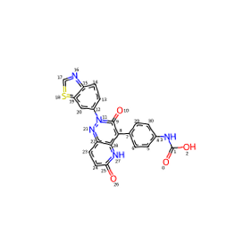 O=C(O)Nc1ccc(-c2c(=O)n(-c3ccc4ncsc4c3)nc3ccc(=O)[nH]c23)cc1